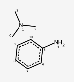 CN(C)C.Nc1cc[c]cc1